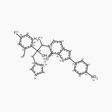 CC(n1cnc2cc(-c3ccc([N+](=O)[O-])cc3)sc2c1=O)C(O)(Cn1cncn1)c1ccc(F)cc1F